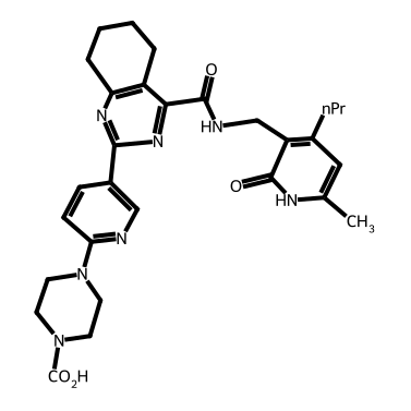 CCCc1cc(C)[nH]c(=O)c1CNC(=O)c1nc(-c2ccc(N3CCN(C(=O)O)CC3)nc2)nc2c1CCCC2